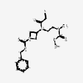 CN(CCN(C(=O)CCl)C1CN(C(=O)OCc2ccccc2)C1)C(=O)OC(C)(C)C